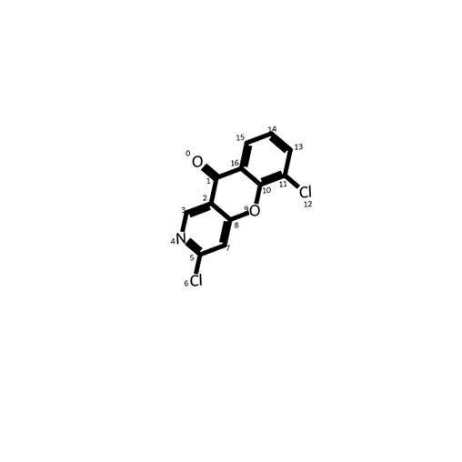 O=c1c2cnc(Cl)cc2oc2c(Cl)cccc12